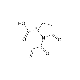 C=CC(=O)N1C(=O)CC[C@H]1C(=O)O